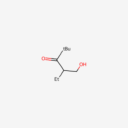 CCC(CO)C(=O)C(C)(C)C